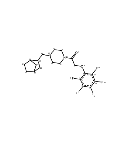 O=C(COc1c(F)c(F)c(F)c(F)c1F)N1CCN(CC2CC3CCC2C3)CC1